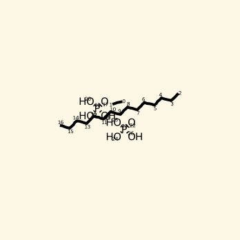 CC.CCCCCCCCCCCCCCC.O=P(O)(O)O.O=P(O)(O)O